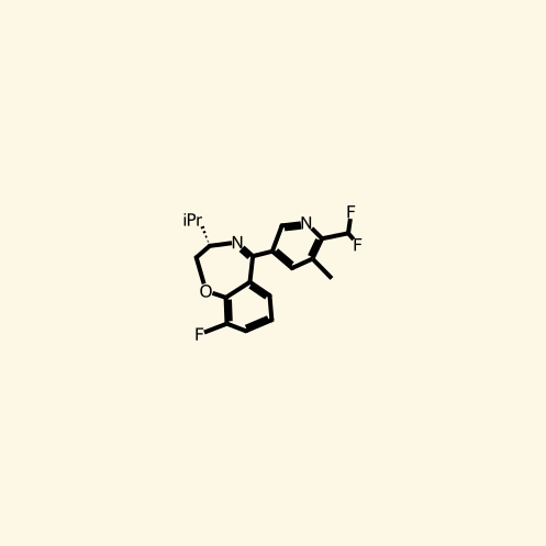 Cc1cc(C2=N[C@@H](C(C)C)COc3c(F)cccc32)cnc1C(F)F